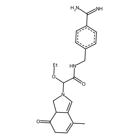 CCOC(C(=O)NCc1ccc(C(=N)N)cc1)N1C=C2C(C)=CCC(=O)C2C1